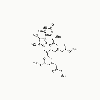 CC(C)(C)OC(=O)CN(CCN(CCN(CC(=O)OC(C)(C)C)CC(=O)OC(C)(C)C)C[C@H]1O[C@@H](n2ccc(=O)[nH]c2=O)C(O)[C@H]1O)CC(=O)OC(C)(C)C